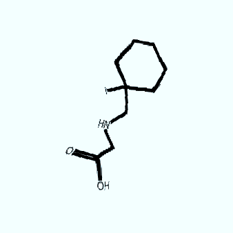 O=C(O)CNCC1(I)CCCCC1